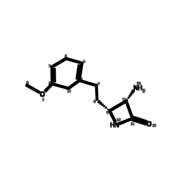 COC1=CCC=C(CC[C@H]2NC(=O)[C@H]2N)C1